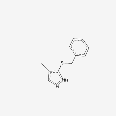 Cc1cn[nH]c1SCc1ccccc1